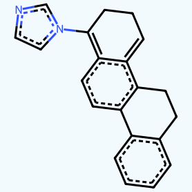 C1=c2c3c(ccc2=C(n2ccnc2)CC1)-c1ccccc1CC3